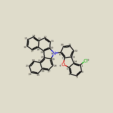 Clc1cccc2oc3c(-n4c5ccc6ccccc6c5c5c6ccccc6ccc54)cccc3c12